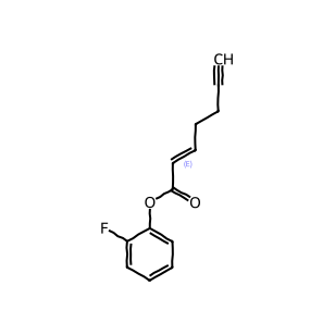 C#CCC/C=C/C(=O)Oc1ccccc1F